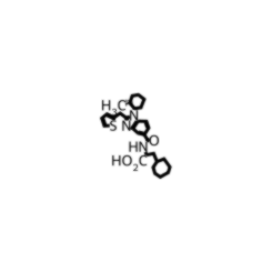 C[C@@H]1CCCCC1n1c(Cc2cccs2)nc2cc(C(=O)NC(CC3CCCCCC3)C(=O)O)ccc21